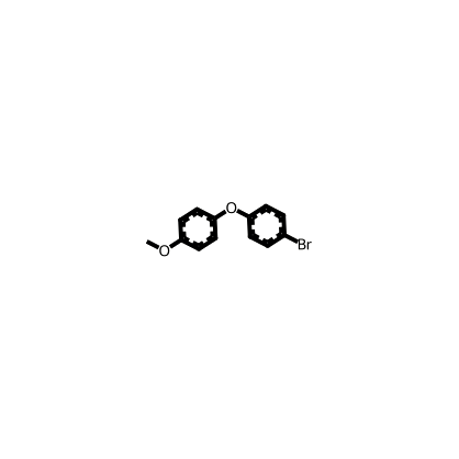 COc1ccc(Oc2ccc(Br)cc2)cc1